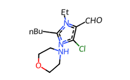 C1COCCN1.CCCCc1nc(Cl)c(C=O)n1CC